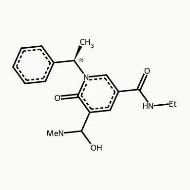 CCNC(=O)c1cc(C(O)NC)c(=O)n([C@H](C)c2ccccc2)c1